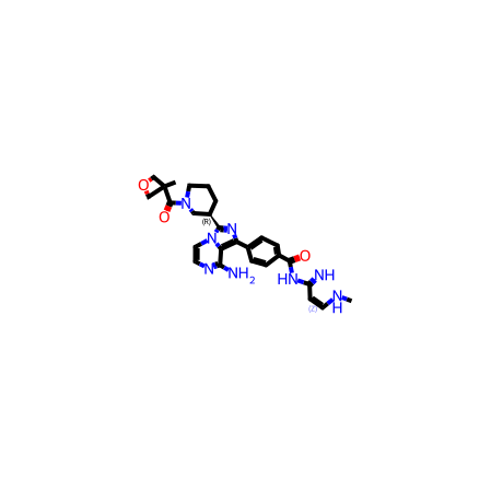 CN/C=C\C(=N)NC(=O)c1ccc(-c2nc([C@@H]3CCCN(C(=O)C4(C)COC4)C3)n3ccnc(N)c23)cc1